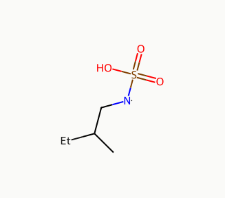 CCC(C)C[N]S(=O)(=O)O